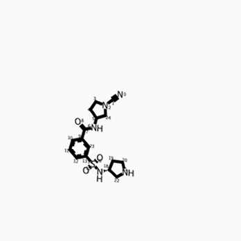 N#CN1CCC(NC(=O)c2cccc(S(=O)(=O)N[C@@H]3CCNC3)c2)C1